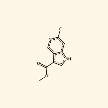 COC(=O)c1c[nH]c2cc(Cl)ncc12